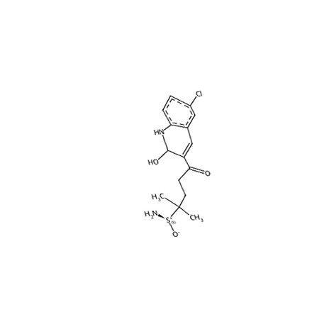 CC(C)(CCC(=O)C1=Cc2cc(Cl)ccc2NC1O)[S@+](N)[O-]